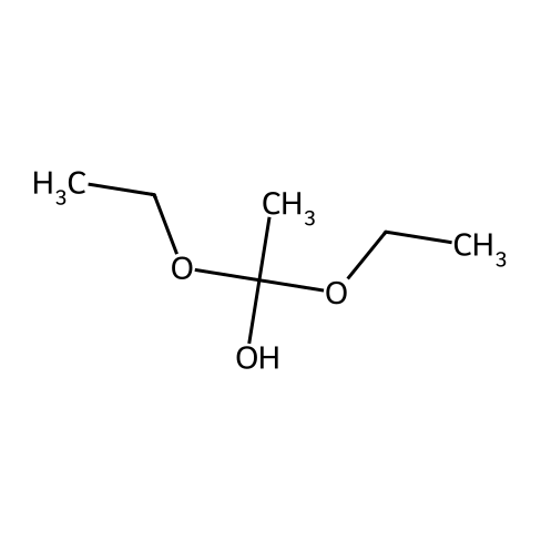 CCOC(C)(O)OCC